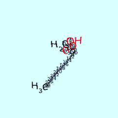 C=C(C(=O)O)C(=O)c1cccc(CCCCCCCCCCCCCCCCCC)c1